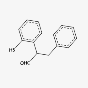 O=CC(Cc1ccccc1)c1ccccc1S